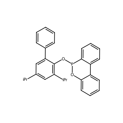 CC(C)c1cc(-c2ccccc2)c(OP2Oc3ccccc3-c3ccccc32)c(C(C)C)c1